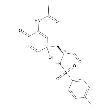 CC(=O)NC1=CC(O)(C[C@@H](C=O)NS(=O)(=O)c2ccc(C)cc2)C=CC1=O